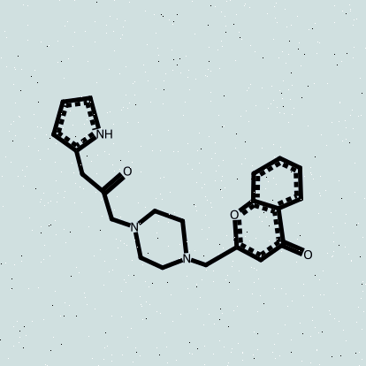 O=C(Cc1ccc[nH]1)CN1CCN(Cc2cc(=O)c3ccccc3o2)CC1